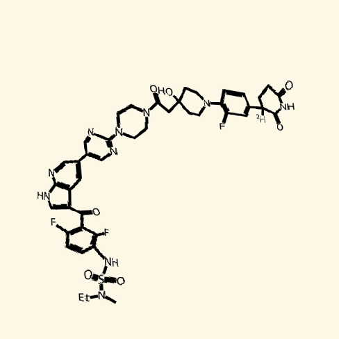 [2H]C1(c2ccc(N3CCC(O)(CC(=O)N4CCN(c5ncc(-c6cnc7[nH]cc(C(=O)c8c(F)ccc(NS(=O)(=O)N(C)CC)c8F)c7c6)cn5)CC4)CC3)c(F)c2)CCC(=O)NC1=O